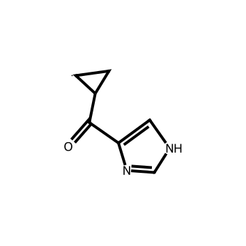 O=C(c1c[nH]cn1)C1[CH]C1